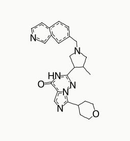 CC1CN(Cc2ccc3ccncc3c2)CC1c1nn2c(C3CCOCC3)ncc2c(=O)[nH]1